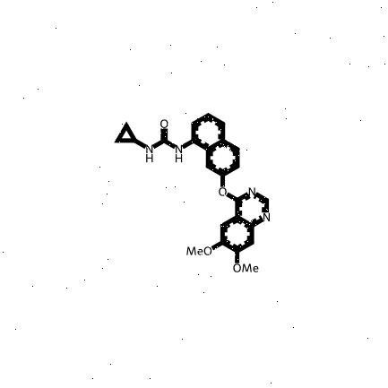 COc1cc2ncnc(Oc3ccc4cccc(NC(=O)NC5CC5)c4c3)c2cc1OC